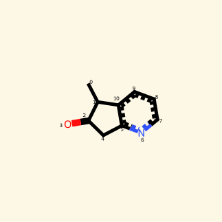 CC1C(=O)Cc2ncccc21